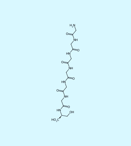 NCC(=O)NCC(=O)NCC(=O)NCC(=O)NCC(=O)NCC(=O)N[C@@H](CO)C(=O)O